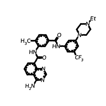 CCN1CCN(c2cc(NC(=O)c3ccc(C)c(NC(=O)c4cccc5c(N)ncnc45)c3)cc(C(F)(F)F)c2)CC1